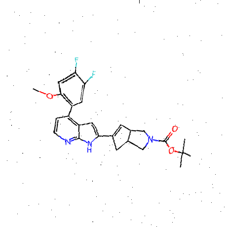 COc1cc(F)c(F)cc1-c1ccnc2[nH]c(C3=CC4CN(C(=O)OC(C)(C)C)CC4C3)cc12